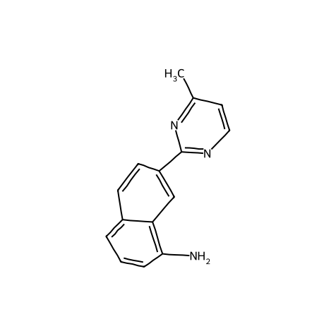 Cc1ccnc(-c2ccc3cccc(N)c3c2)n1